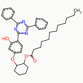 CCCCCCCCCCCC(=O)OC1CCCCC1Oc1ccc(-c2nc(-c3ccccc3)nc(-c3ccccc3)n2)c(O)c1